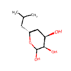 CC(C)C[C@@H]1C[C@@H](O)[C@@H](O)C(O)O1